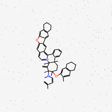 C=C(C)/C=C\N(C)C1(C)C(=C)C2(C)[n+]3ccc4cc5oc6cc7c(cc6c5cc4c3-c3ccccc3C2(C)CCC1(C)Oc1cc2c(cc1C)CCCC2)CCCC7